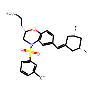 C[C@@H]1C/C(=C/c2ccc3c(c2)N(S(=O)(=O)c2cccc(C(F)(F)F)c2)C[C@H](CCC(=O)O)O3)C[C@H](C)C1